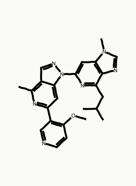 COc1ccncc1-c1cc2c(cnn2-c2cc3c(ncn3C)c(CC(C)C)n2)c(C)n1